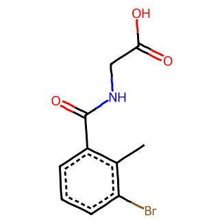 Cc1c(Br)cccc1C(=O)NCC(=O)O